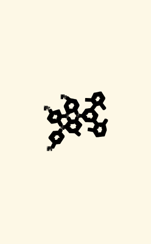 Cc1cc2c3c(c1)N(c1cc(-c4c(C)cccc4C)cc(-c4c(C)cccc4C)c1)c1ccc(C(C)C)cc1B3c1cc(C(C)C)ccc1N2c1ccc(C(C)C)cc1